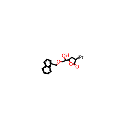 CC(C)C1CC(C(O)COCc2cccc3ccccc23)OC1=O